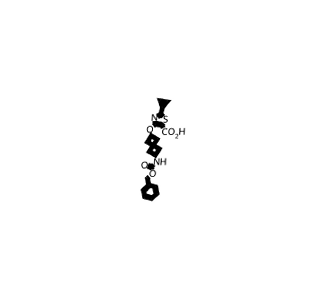 O=C(N[C@H]1CC2(C1)C[C@H](Oc1nc(C3CC3)sc1C(=O)O)C2)OCc1ccccc1